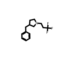 FC(F)(F)CCN1CCC(Cc2ccccc2)C1